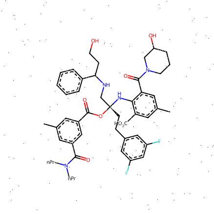 CCCN(CCC)C(=O)c1cc(C)cc(C(=O)O[C@](CCc2cc(F)cc(F)c2)(CNC(CCO)c2ccccc2)Nc2c(C(=O)O)cc(C)cc2C(=O)N2CCCC(O)C2)c1